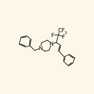 FC(F)(F)C(F)(F)C(C=Cc1ccccc1)N1CCN(Cc2ccccc2)CC1